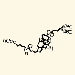 CCCCCCCCCCCCCCNC(=O)CC[C@@H](C)[C@H]1CC[C@H]2[C@@H]3[C@H](O)[C@H](C)[C@@H]4C[C@H](OC(=O)CCCN(CCCCCCCCCC)CCCCCCCCCC)CC[C@]4(C)[C@H]3CC[C@]12C